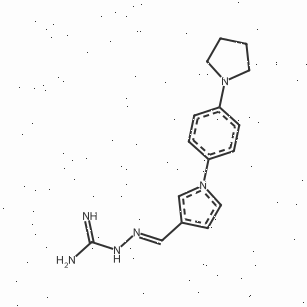 N=C(N)NN=Cc1ccn(-c2ccc(N3CCCC3)cc2)c1